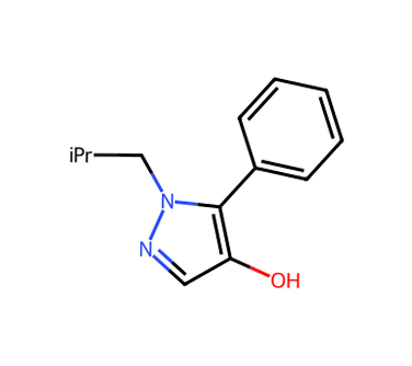 CC(C)Cn1ncc(O)c1-c1ccccc1